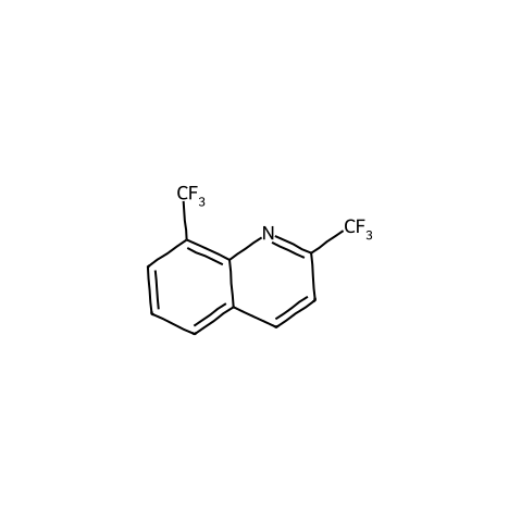 FC(F)(F)c1ccc2cccc(C(F)(F)F)c2n1